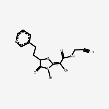 C#CCNC(=O)/C(C#N)=C1\SC(CCc2cccnc2)C(=O)N1CC